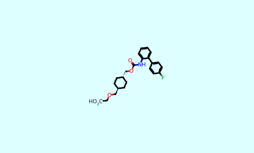 O=C(O)COC[C@H]1CC[C@H](COC(=O)Nc2ccccc2-c2ccc(F)cc2)CC1